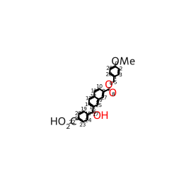 COc1ccc(COC(=O)c2ccc3ccc(C(O)c4ccc(C(=O)O)cc4)cc3c2)cc1